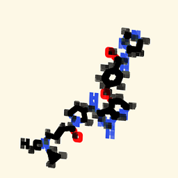 CN(CC=CC(=O)N1CCC(Nc2n[nH]c3nccc(Oc4ccc(C(=O)Nc5ccncn5)cc4)c23)C1)C1CC1